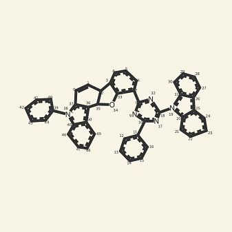 C1=CC2c3cccc(-c4nc(-c5ccccc5)nc(-n5c6ccccc6c6ccccc65)n4)c3OC2c2c1n(-c1ccccc1)c1ccccc21